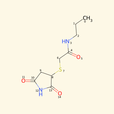 CCCNC(=O)CSC1CC(=O)NC1=O